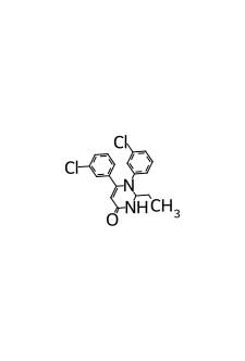 CCC1NC(=O)C=C(c2cccc(Cl)c2)N1c1cccc(Cl)c1